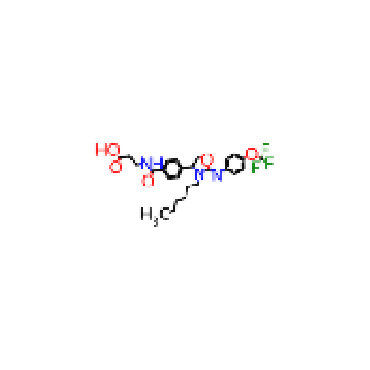 CCCCCCN1C(=Nc2ccc(OC(F)(F)F)cc2)OCC1c1ccc(C(=O)NCCC(=O)O)cc1